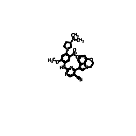 COc1cc(N2CC[C@@H](N(C)C)C2)c([N+](=O)[O-])cc1Nc1ncc(C#N)c(-c2cn3c4c(cccc24)OCC3)n1